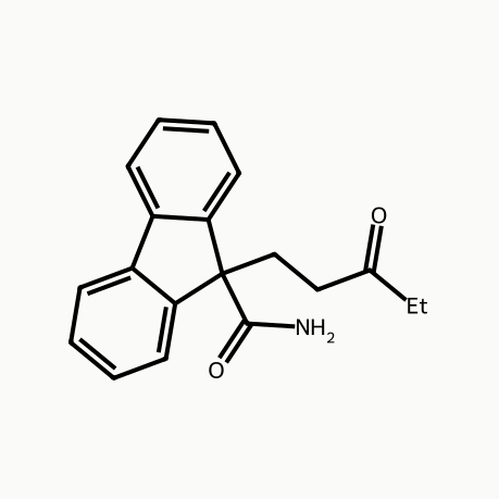 CCC(=O)CCC1(C(N)=O)c2ccccc2-c2ccccc21